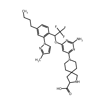 CCCCc1ccc(C(Oc2cc(N3CCC4(CC3)CNC(C(=O)O)C4)nc(N)n2)C(F)(F)F)c(-n2ccc(C)n2)c1